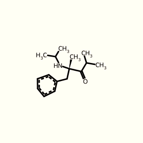 CC(C)N[C@@](C)(Cc1ccccc1)C(=O)C(C)C